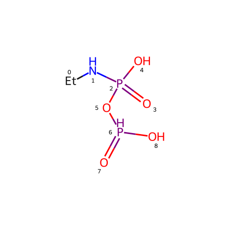 CCNP(=O)(O)O[PH](=O)O